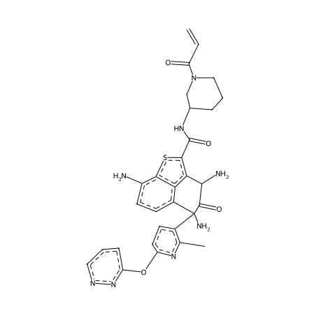 C=CC(=O)N1CCCC(NC(=O)c2sc3c(N)ccc4c3c2C(N)C(=O)C4(N)c2ccc(Oc3cccnn3)nc2C)C1